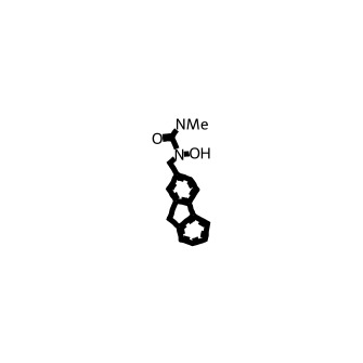 CNC(=O)N(O)Cc1ccc2c(c1)Cc1ccccc1-2